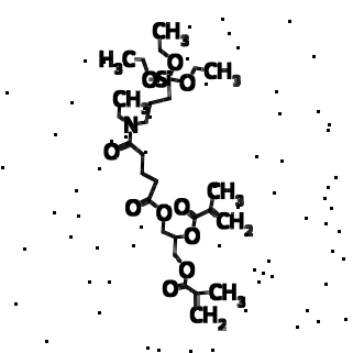 C=C(C)C(=O)OCC(COC(=O)CCCC(=O)N(CC)CCC[Si](OCC)(OCC)OCC)OC(=O)C(=C)C